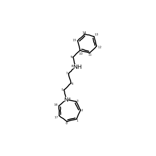 C1=CC=CN(CCCNCc2ccccc2)C=C1